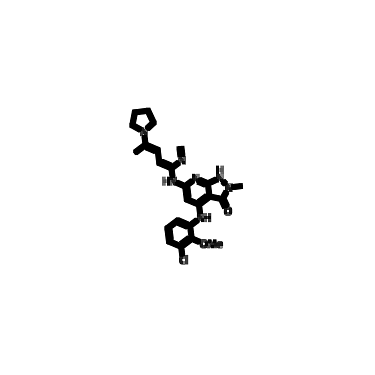 C=N/C(=C\C=C(/C)N1CCCC1)Nc1cc(Nc2cccc(Cl)c2OC)c2c(=O)n(C)[nH]c2n1